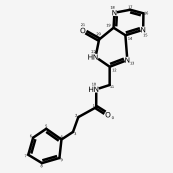 O=C(CCc1ccccc1)NCc1nc2nccnc2c(=O)[nH]1